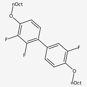 CCCCCCCCOc1ccc(-c2ccc(OCCCCCCCC)c(F)c2F)cc1F